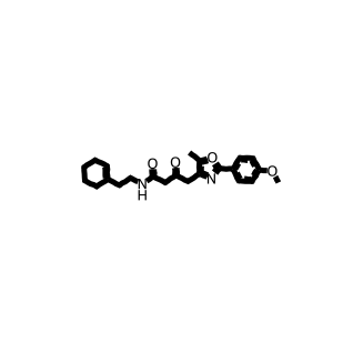 COc1ccc(-c2nc(CC(=O)CC(=O)NCCC3=CCCCC3)c(C)o2)cc1